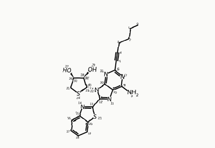 CCCCC#Cc1nc(N)c2nc(-c3nc4ccccc4s3)n([C@@H]3SC[C@@H](O)[C@H]3O)c2n1